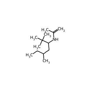 C=C(C)NC(CC(C)CC)C(C)(C)C